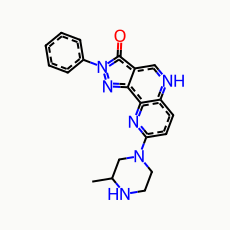 CC1CN(c2ccc3[nH]cc4c(=O)n(-c5ccccc5)nc-4c3n2)CCN1